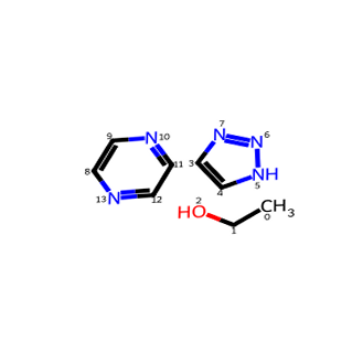 CCO.c1c[nH]nn1.c1cnccn1